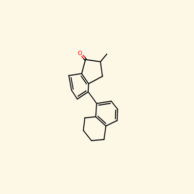 CC1Cc2c(cccc2-c2cccc3c2CCCC3)C1=O